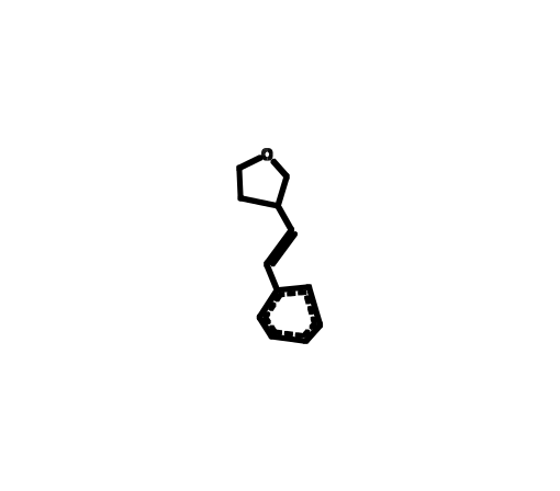 C(=CC1CCOC1)c1ccccc1